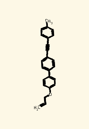 C=CCOc1ccc(-c2ccc(C#Cc3ccc(C)cc3)cc2)cc1